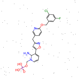 NC1C(c2cc(Cc3ccc(OCc4cc(F)cc(Cl)c4)nc3)no2)=CC=CN1COP(=O)(O)O